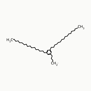 [CH2]CCCc1cc(CCCCCCCCCCCCCCCCC)cc(CCCCCCCCCCCCCCCCC)c1